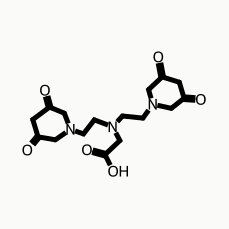 O=C(O)CN(CCN1CC(=O)CC(=O)C1)CCN1CC(=O)CC(=O)C1